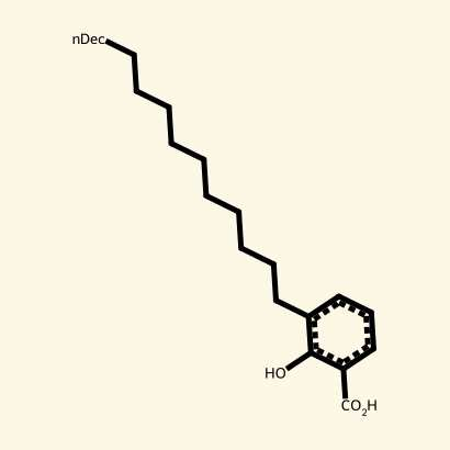 CCCCCCCCCCCCCCCCCCCCc1cccc(C(=O)O)c1O